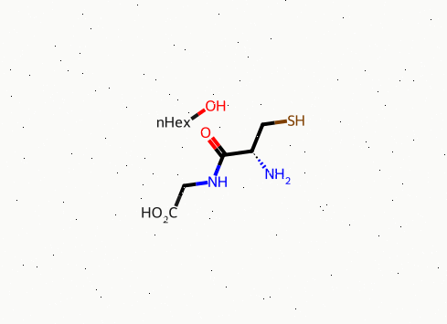 CCCCCCO.N[C@@H](CS)C(=O)NCC(=O)O